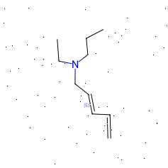 C=C/C=C/CN(CC)CCC